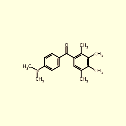 Cc1cc(C(=O)c2ccc(N(C)C)cc2)c(C)c(C)c1C